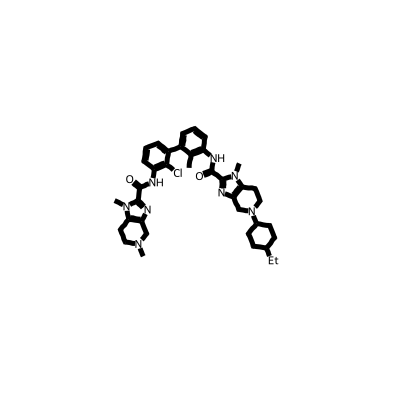 CCC1CCC(N2CCc3c(nc(C(=O)Nc4cccc(-c5cccc(NC(=O)c6nc7c(n6C)CCN(C)C7)c5Cl)c4C)n3C)C2)CC1